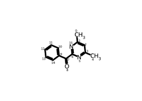 Cc1cc(C)nc(C(=O)c2ccccc2)n1